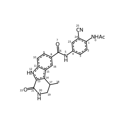 CC(=O)Nc1ccc(NC(=O)c2ccc3[nH]c4c(c3c2)C(C)CNC4=O)cc1C#N